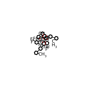 Cc1ccccc1-c1ccc2c3ccc(-c4ccccc4C)cc3n(-c3ccc(C(F)(F)F)cc3-c3nc(-c4ccccc4)nc(-c4cc(C(F)(F)F)ccc4-n4c5cc(-c6ccccc6C)ccc5c5ccc(-c6ccccc6C)cc54)n3)c2c1